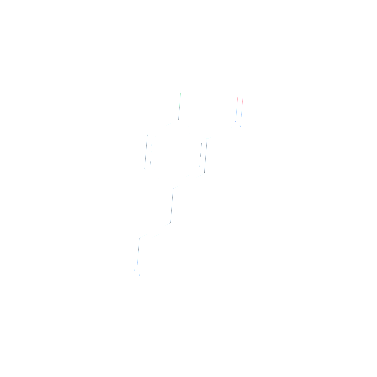 O=[N+]([O-])/C=C/c1ccc(Cl)c([N+](=O)[O-])c1